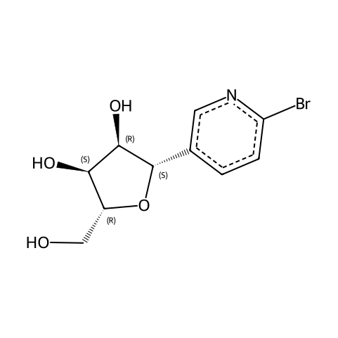 OC[C@H]1O[C@@H](c2ccc(Br)nc2)[C@H](O)[C@@H]1O